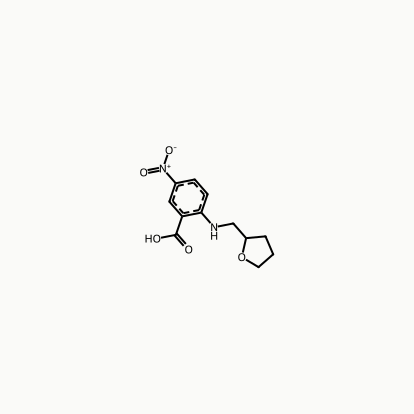 O=C(O)c1cc([N+](=O)[O-])ccc1NCC1CCCO1